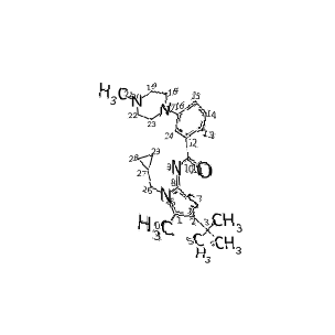 Cc1c(C(C)(C)C)s/c(=N\C(=O)c2cccc(N3CCN(C)CC3)c2)n1CC1CC1